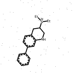 CC[SiH](CC)C1CNc2cc(-c3ccccc3)ccc2C1